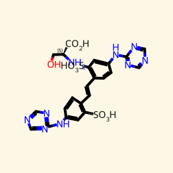 N[C@@H](CO)C(=O)O.O=S(=O)(O)c1cc(Nc2ncncn2)ccc1C=Cc1ccc(Nc2ncncn2)cc1S(=O)(=O)O